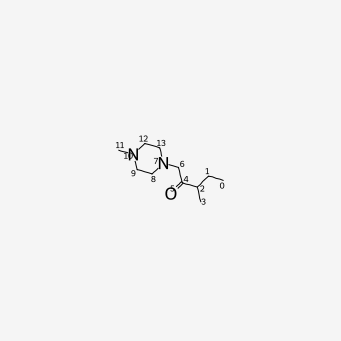 CCC(C)C(=O)CN1CCN(C)CC1